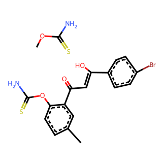 COC(N)=S.Cc1ccc(OC(N)=S)c(C(=O)C=C(O)c2ccc(Br)cc2)c1